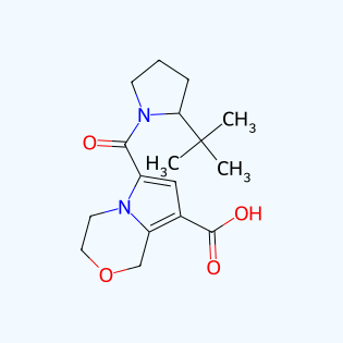 CC(C)(C)C1CCCN1C(=O)c1cc(C(=O)O)c2n1CCOC2